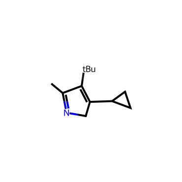 CC1=NCC(C2CC2)=C1C(C)(C)C